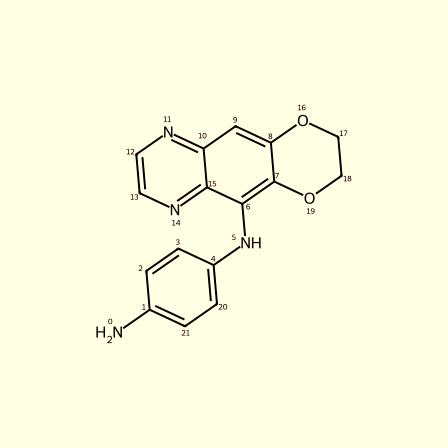 Nc1ccc(Nc2c3c(cc4nccnc24)OCCO3)cc1